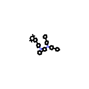 CC1(C)CCC(C)(C)c2cc(-c3ccc(-n4c5ccccc5c5ccc(N(c6ccc(-c7ccccc7)cc6)c6ccc(-c7ccccc7)cc6)cc54)cc3)ccc21